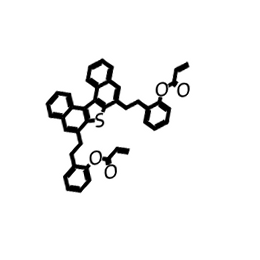 C=CC(=O)Oc1ccccc1CCc1cc2ccccc2c2c1sc1c(CCc3ccccc3OC(=O)C=C)cc3ccccc3c12